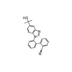 CC(C)(O)c1ccc2c(c1)ncn2-c1ccccc1-c1ccccc1C#N